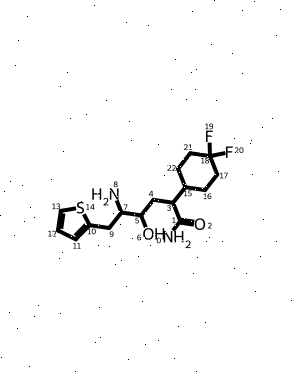 NC(=O)C(CC(O)C(N)Cc1cccs1)C1CCC(F)(F)CC1